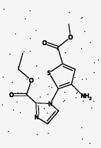 CCOC(=O)c1nccn1-c1sc(C(=O)OC)cc1N